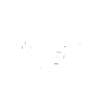 O=C(O)C=Cc1ccc(C=CC(=O)O)c(OCCOCCN2C(=O)C=CC2=O)c1